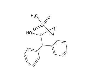 CS(=O)(=O)C1(C(O)C(c2ccccc2)c2ccccc2)CC1